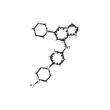 CN1CCN(c2ccc(Nc3cc(N4CCCCC4)cn4ccnc34)nc2)CC1